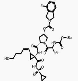 CCC[C@H](NC(=O)OC(C)(C)C)C(=O)N1C[C@H](OC(=O)N2Cc3cccc(F)c3C2)C[C@H]1C(=O)N[C@]1(C(=O)NS(=O)(=O)C2CC2)C[C@H]1/C=C\CCCO